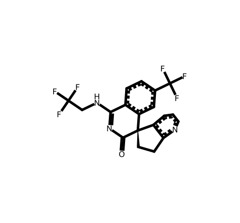 O=C1N=C(NCC(F)(F)F)c2ccc(C(F)(F)F)cc2[C@@]12CCc1ncccc12